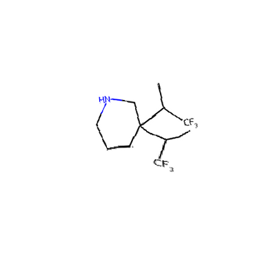 CC(C(F)(F)F)C1(C(C)C(F)(F)F)[CH]CCNC1